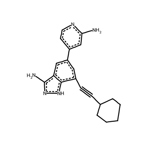 Nc1cc(-c2cc(C#CC3CCCCC3)c3[nH]nc(N)c3c2)ccn1